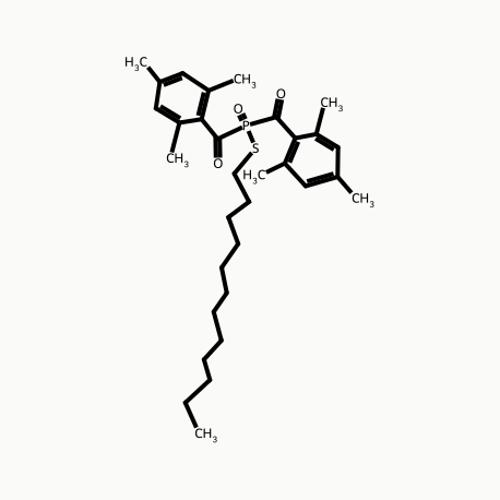 CCCCCCCCCCCCSP(=O)(C(=O)c1c(C)cc(C)cc1C)C(=O)c1c(C)cc(C)cc1C